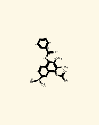 CCCC(=O)Oc1c(OC)c(OC)c(OC(=O)c2ccccc2)c2ccc(N(C)CC)cc12